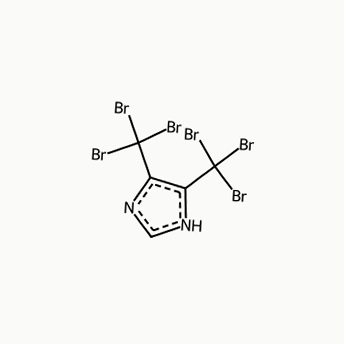 BrC(Br)(Br)c1nc[nH]c1C(Br)(Br)Br